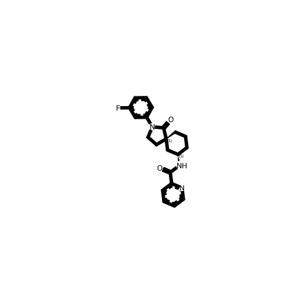 O=C(N[C@H]1CCC[C@]2(CCN(c3cccc(F)c3)C2=O)C1)c1ccccn1